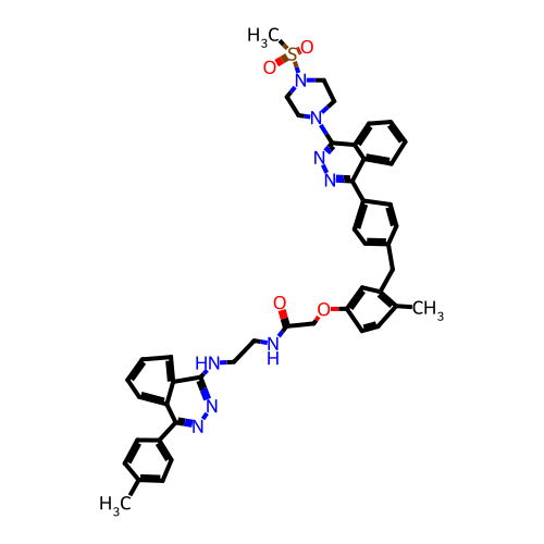 Cc1ccc(-c2nnc(NCCNC(=O)COc3ccc(C)c(Cc4ccc(-c5nnc(N6CCN(S(C)(=O)=O)CC6)c6ccccc56)cc4)c3)c3ccccc23)cc1